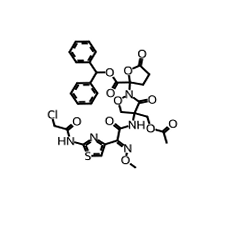 CON=C(C(=O)NC1(COC(C)=O)CON(C2(C(=O)OC(c3ccccc3)c3ccccc3)CCC(=O)O2)C1=O)c1csc(NC(=O)CCl)n1